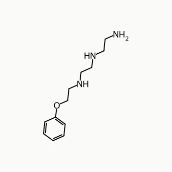 NCCNCCNCCOc1ccccc1